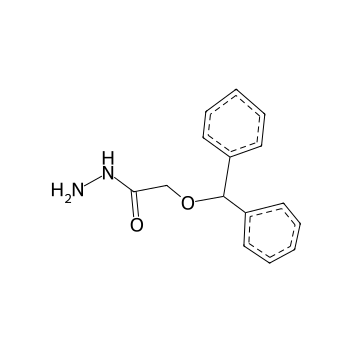 NNC(=O)COC(c1ccccc1)c1ccccc1